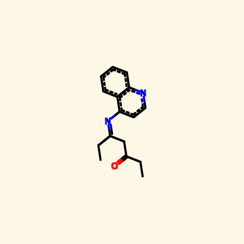 CCC(=O)C/C(CC)=N\c1ccnc2ccccc12